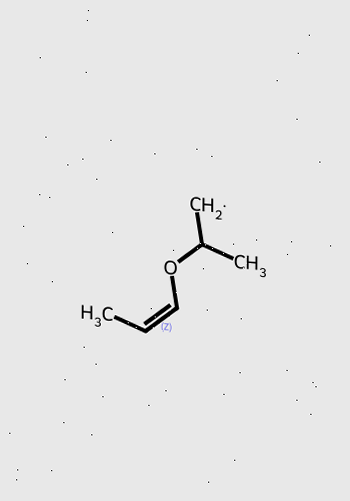 [CH2]C(C)O/C=C\C